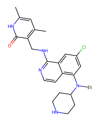 CCN(c1cc(Cl)cc2c(NCc3c(C)cc(C)[nH]c3=O)nccc12)C1CCNCC1